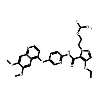 CCOc1cnn(CCOC(F)P)c1C(=O)Nc1ccc(Oc2ccnc3cc(OC)c(OC)cc23)cn1